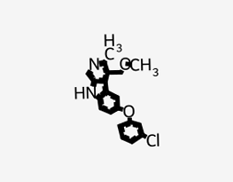 COCc1c(C)ncc2[nH]c3ccc(Oc4cccc(Cl)c4)cc3c12